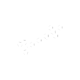 c1ccc(-c2c3ccccc3c(-c3ccc(-c4ccc(-c5ccc6c(c5)c5ccc7ccccc7c5n6-c5ccccc5)cc4)nc3)c3ccccc23)cc1